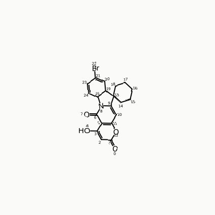 O=c1cc(O)c2c(=O)n3c(cc2o1)C1(CCCCC1)C1C=C(Br)C=CC13